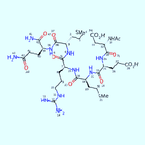 CSCC[C@H](NC(=O)[C@H](CCCNC(=N)N)NC(=O)[C@H](CCSC)NC(=O)[C@H](CCC(=O)O)NC(=O)[C@H](CC(=O)O)NC(C)=O)C(=O)N[C@@H](CCC(N)=O)C(N)=O